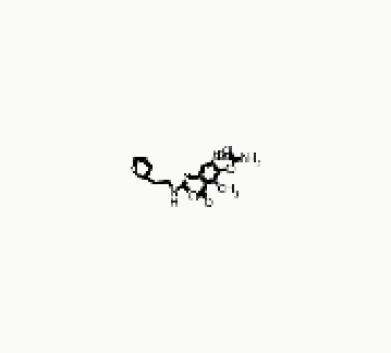 Cc1c(OC(N)=O)c(C(C)(C)C)cc2nc(NCCc3cccnc3)oc(=O)c12